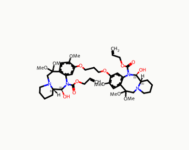 C=CCOC(=O)N1c2cc(OCCCOc3cc4c(cc3OC)C(OC)(OC)CN3CCCC[C@H]3[C@H](O)N4C(=O)OCC=C)c(OC)cc2C(OC)(OC)CN2CCCC[C@H]2[C@@H]1O